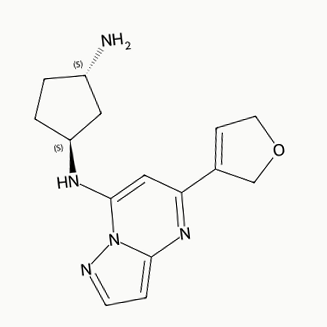 N[C@H]1CC[C@H](Nc2cc(C3=CCOC3)nc3ccnn23)C1